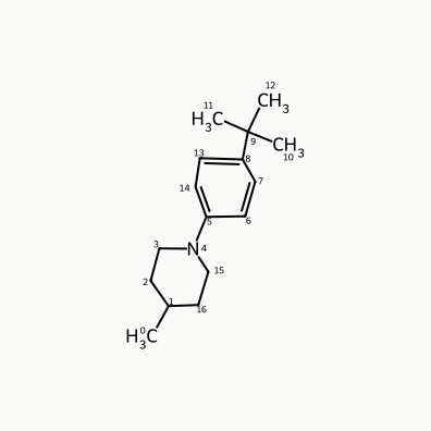 CC1CCN(c2ccc(C(C)(C)C)cc2)CC1